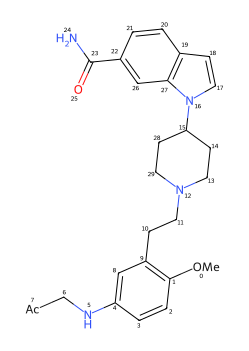 COc1ccc(NCC(C)=O)cc1CCN1CCC(n2ccc3ccc(C(N)=O)cc32)CC1